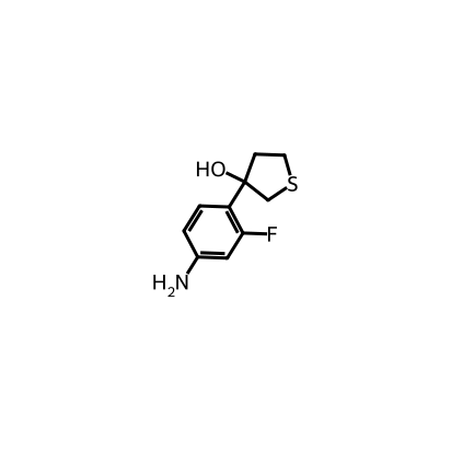 Nc1ccc(C2(O)CCSC2)c(F)c1